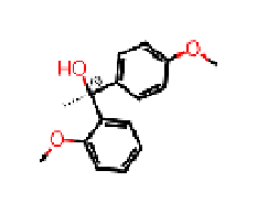 COc1ccc([C@](C)(O)c2ccccc2OC)cc1